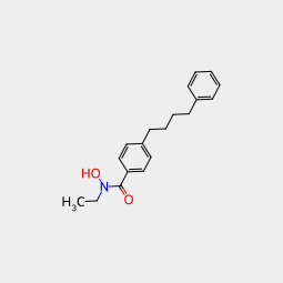 CCN(O)C(=O)c1ccc(CCCCc2ccccc2)cc1